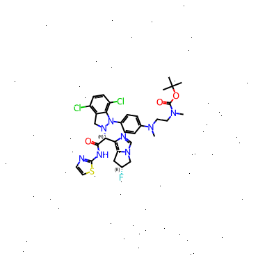 CN(CCN(C)c1ccc(N2c3c(Cl)ccc(Cl)c3CN2[C@@H](C(=O)Nc2nccs2)c2ncn3c2C[C@@H](F)C3)cc1)C(=O)OC(C)(C)C